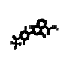 C=C(c1cc(C)c(-c2cc(=O)c3c(C(N)=O)nccc3[nH]2)cc1C)C(F)(F)F